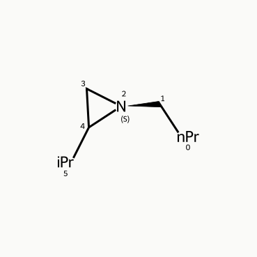 CCCC[N@]1CC1C(C)C